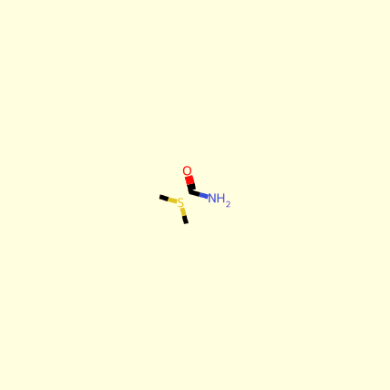 CSC.NC=O